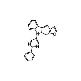 C1=C2c3ccccc3N(c3cnc(-c4ccccc4)nc3)C2Cc2occc21